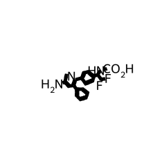 Nc1cnc(-c2ccc(C(NC(=O)O)C(F)F)cc2)c(-c2ccccc2)c1